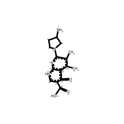 Cc1c(N2CCC(N)C2)nc2[nH]cc(C(=O)O)c(=O)c2c1C